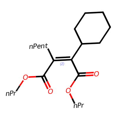 CCCCC/C(C(=O)OCCC)=C(/C(=O)OCCC)C1CCCCC1